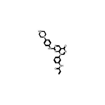 C=CC(=O)Nc1cccc(-n2cnc(=O)c3cnc(Nc4ccc(N5CCNCC5)cc4)nc32)c1